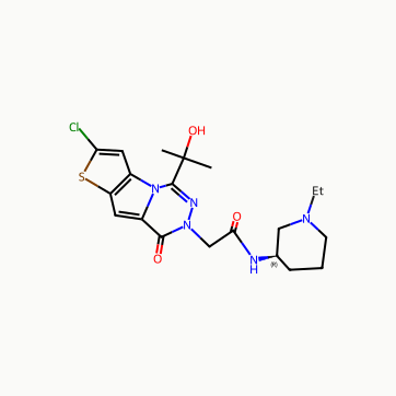 CCN1CCC[C@@H](NC(=O)Cn2nc(C(C)(C)O)n3c(cc4sc(Cl)cc43)c2=O)C1